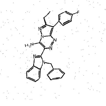 CCc1nn2c(N)c(-c3nc4ccccc4n3Cc3ccccc3)nnc2c1-c1ccc(F)cc1